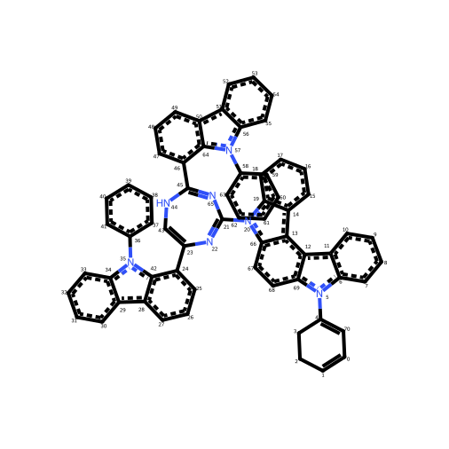 C1=CCCC(n2c3ccccc3c3c4c5ccccc5n(C5=NC(c6cccc7c8ccccc8n(-c8ccccc8)c67)=CNC(c6cccc7c8ccccc8n(-c8ccccc8)c67)=N5)c4ccc32)=C1